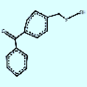 O=C(c1ccccc1)c1ccc(CSS)cc1